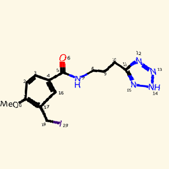 COc1ccc(C(=O)NCCCc2nn[nH]n2)cc1CI